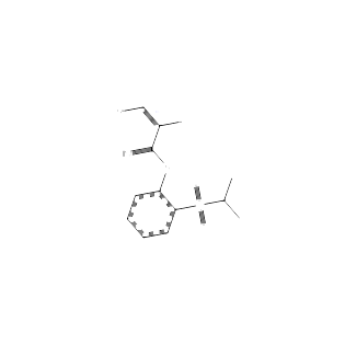 CC(C)S(=O)(=O)c1ccccc1NC(=N)/C(Cl)=C\N